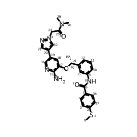 CSc1ccc(C(=O)Nc2cccc([C@@H](C)Oc3cc(-c4cnn(CC(=O)N(C)C)c4)cnc3N)c2)cc1